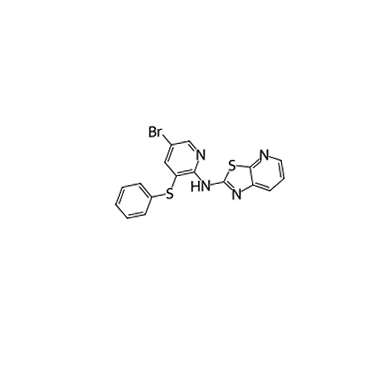 Brc1cnc(Nc2nc3cccnc3s2)c(Sc2ccccc2)c1